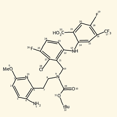 COc1ccc(N)c(CCN(Cc2c(Nc3cc(C(F)(F)F)c(F)cc3C(=O)O)ccc(F)c2Cl)C(=O)OC(C)(C)C)n1